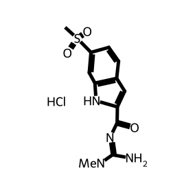 CNC(N)=NC(=O)c1cc2ccc(S(C)(=O)=O)cc2[nH]1.Cl